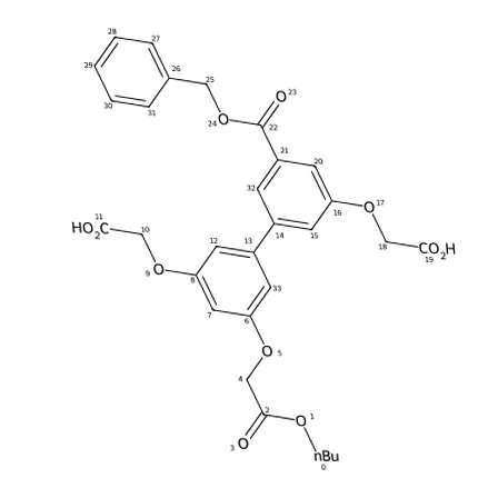 CCCCOC(=O)COc1cc(OCC(=O)O)cc(-c2cc(OCC(=O)O)cc(C(=O)OCc3ccccc3)c2)c1